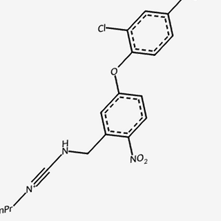 CCC[N+]#CNCc1cc(Oc2ccc(C(F)(F)F)cc2Cl)ccc1[N+](=O)[O-]